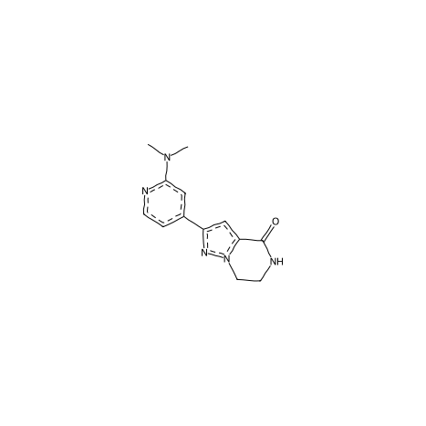 CN(C)c1cc(-c2cc3n(n2)CCNC3=O)ccn1